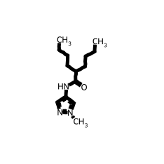 CCCCC(CCCC)C(=O)Nc1cnn(C)c1